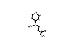 CCCN(CCC(=O)OC)C1CCOCC1